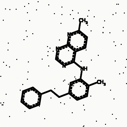 Cc1ccc2c(Nc3cc(CCc4ccccc4)ccc3C)ncnc2n1